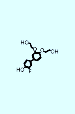 OCCOc1ccc(-c2ccc(O)c(F)c2)cc1OCCO